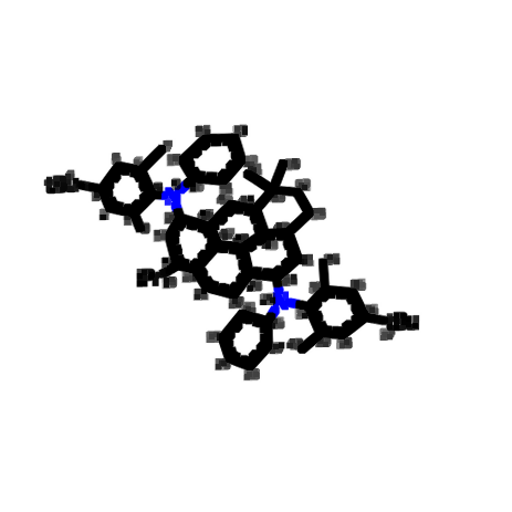 Cc1cc(C(C)(C)C)cc(C)c1N(c1ccccc1)c1cc(C(C)C)c2ccc3c(N(c4ccccc4)c4c(C)cc(C(C)(C)C)cc4C)cc4c5c(cc1c2c35)C(C)(C)CC4